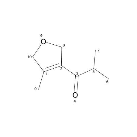 CC1=C(C(=O)C(C)C)COC1